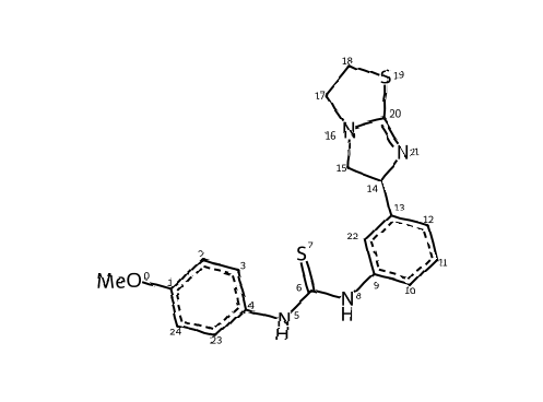 COc1ccc(NC(=S)Nc2cccc(C3CN4CCSC4=N3)c2)cc1